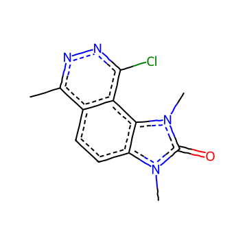 Cc1nnc(Cl)c2c1ccc1c2n(C)c(=O)n1C